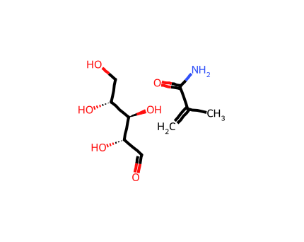 C=C(C)C(N)=O.O=C[C@H](O)[C@H](O)[C@H](O)CO